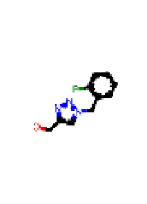 [O]Cc1cn(Cc2ccccc2F)nn1